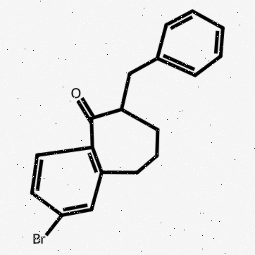 O=C1c2ccc(Br)cc2CCCC1Cc1ccccc1